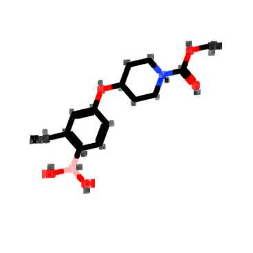 COc1cc(OC2CCN(C(=O)OC(C)(C)C)CC2)ccc1B(O)O